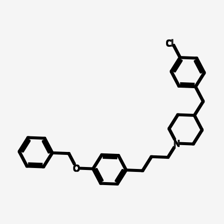 Clc1ccc(CC2CCN(CCCc3ccc(OCc4ccccc4)cc3)CC2)cc1